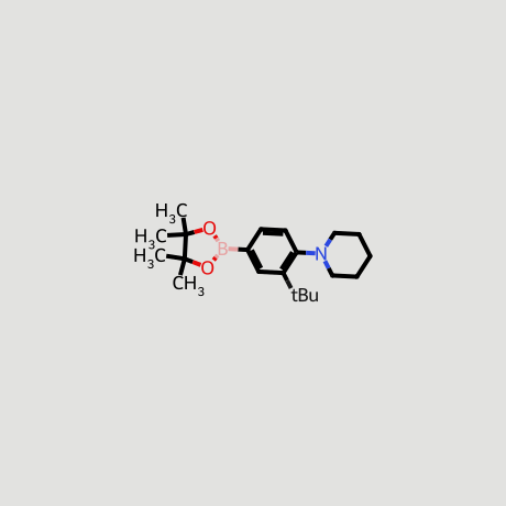 CC(C)(C)c1cc(B2OC(C)(C)C(C)(C)O2)ccc1N1CCCCC1